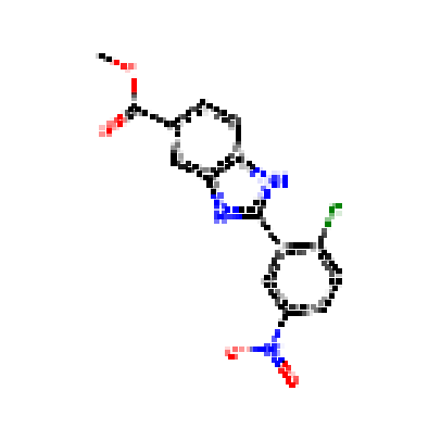 COC(=O)c1ccc2[nH]c(-c3cc([N+](=O)[O-])ccc3Cl)nc2c1